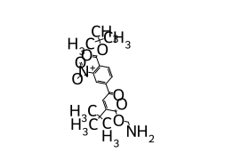 CC(C)(C)OC(=O)c1ccc(C(=O)C=C(C(=O)OCN)C(C)(C)C)cc1[N+](=O)[O-]